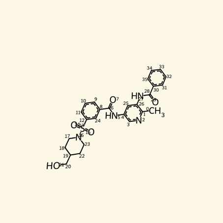 Cc1ncc(NC(=O)c2cccc(S(=O)(=O)N3CCC(CO)CC3)c2)cc1NC(=O)c1ccccc1